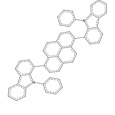 c1ccc(-n2c3ccccc3c3cccc(-c4ccc5ccc6c(-c7cccc8c9ccccc9n(-c9ccccc9)c78)ccc7ccc4c5c76)c32)cc1